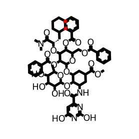 COC(=O)C1CC(NC(=O)c2cc(O)nc(O)n2)C(OC2OC(C)C(O)C(O)C2O)C(OC2OC(COC(=O)c3ccccc3)C(OC(=O)c3ccccc3)C(O[C@@H](CC3CCCCC3)C(=O)N(C)C)C2OC(=O)c2ccccc2)C1